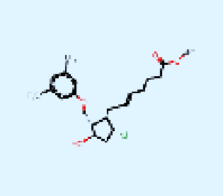 CC(C)OC(=O)CCCC=CC[C@@H]1[C@@H](COc2cc(C(F)(F)F)cc(C(F)(F)F)c2)[C@H](O)C[C@H]1Cl